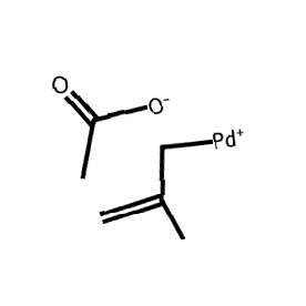 C=C(C)[CH2][Pd+].CC(=O)[O-]